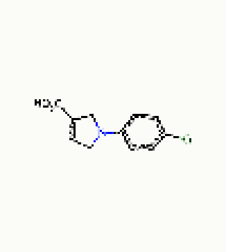 O=C(O)C1=CCN(c2ccc(Cl)cc2)C1